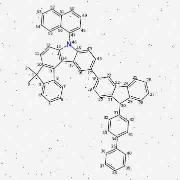 CC1(C)c2ccccc2-c2c1ccc1c2c2cc(-c3ccc4c(c3)-c3ccccc3C4c3ccc(-c4ccccc4)cc3)ccc2n1-c1cccc2ccccc12